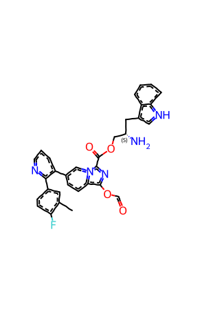 Cc1cc(-c2ncccc2-c2ccc3c(OC=O)nc(C(=O)OC[C@@H](N)Cc4c[nH]c5ccccc45)n3c2)ccc1F